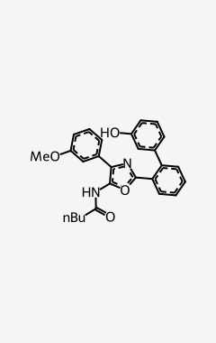 CCCCC(=O)Nc1oc(-c2ccccc2-c2cccc(O)c2)nc1-c1cccc(OC)c1